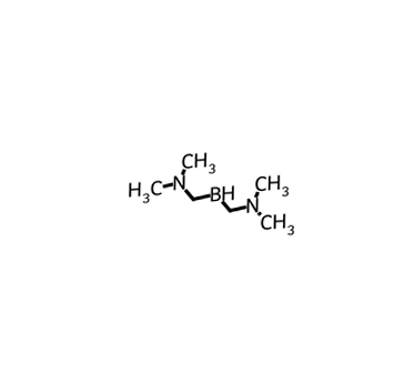 CN(C)CBCN(C)C